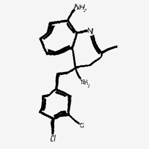 CC1=Nc2c(N)cccc2C(N)(Cc2ccc(Cl)c(Cl)c2)C1